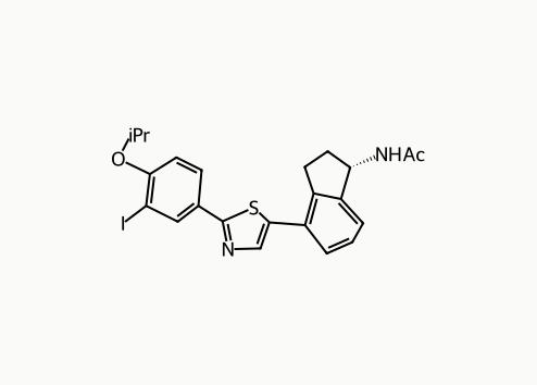 CC(=O)N[C@H]1CCc2c(-c3cnc(-c4ccc(OC(C)C)c(I)c4)s3)cccc21